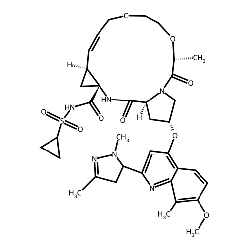 COc1ccc2c(O[C@@H]3C[C@H]4C(=O)N[C@]5(C(=O)NS(=O)(=O)C6CC6)C[C@H]5/C=C\CCCCO[C@H](C)C(=O)N4C3)cc(C3CC(C)=NN3C)nc2c1C